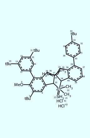 COc1c(C(C)(C)C)cc2c(c1-c1cc(C(C)(C)C)cc(C(C)(C)C)c1)C=C(C)[CH]2[Zr]([CH3])([CH3])(=[SiH2])[CH]1C(C)=Cc2c(-c3ccc(C(C)(C)C)cc3)cccc21.Cl.Cl